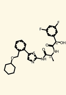 C[C@H](NC(=O)[C@H](O)c1cc(F)cc(F)c1)C(=O)Nc1ncc(-c2ccccc2COC2CCCCC2)s1